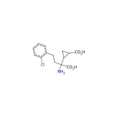 NC(CCc1ccccc1Cl)(C(=O)O)C1CC1C(=O)O